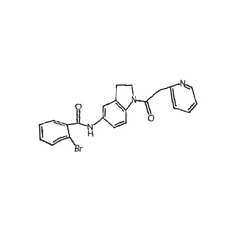 O=C(Nc1ccc2c(c1)CCN2C(=O)Cc1ccccn1)c1ccccc1Br